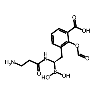 NCCC(=O)N[C@@H](Cc1cccc(C(=O)O)c1OC=O)B(O)O